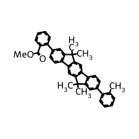 COC(=O)c1ccccc1-c1ccc2c(c1)C(C)(C)c1cc3c(cc1-2)C(C)(C)c1cc(-c2ccccc2C)ccc1-3